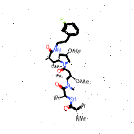 CC[C@H](C)[C@@H]([C@@H](CC(=O)N1C[C@H](OC)C[C@@H]1[C@H](OC)[C@@H](C)C(=O)NCCc1cccc(F)c1)OC)N(C)C(=O)[C@@H](NC(=O)[C@@H](NC)C(C)C)C(C)C